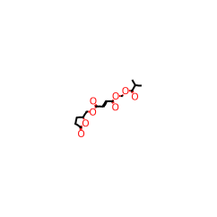 CC(C)C(=O)OCOC(=O)/C=C/C(=O)OCC1CCC(=O)O1